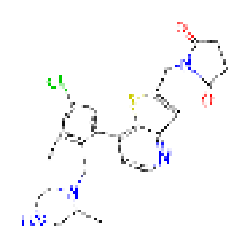 Cc1cc(Cl)cc(-c2ccnc3cc(CN4C(=O)CCC4=O)sc23)c1CN1CCNCC1C